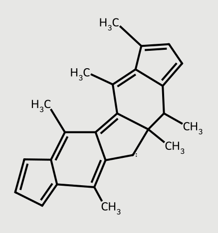 CC1=CC=C2C1=C(C)C1=c3c(C)c4c(c(C)c3[C]C1(C)C2C)=CC=C4